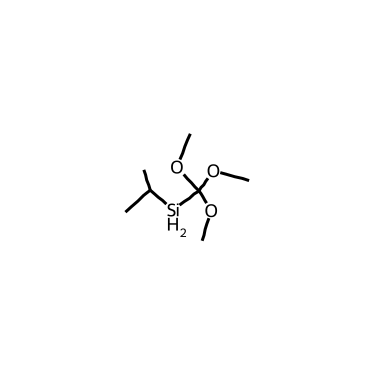 COC(OC)(OC)[SiH2]C(C)C